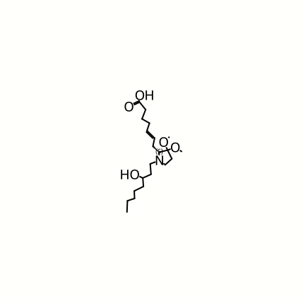 CCCCCC(O)CCN1CCC(OC)(OC)[C@@H]1CC=CCCCC(=O)O